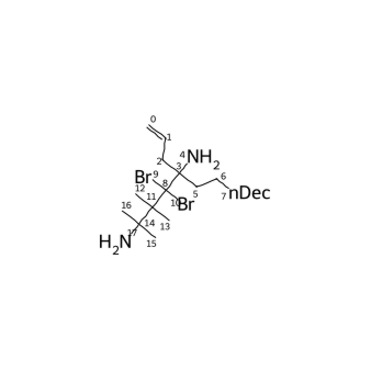 C=CCC(N)(CCCCCCCCCCCC)C(Br)(Br)C(C)(C)C(C)(C)N